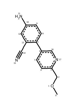 COCc1ccc(-c2ccc(N)cc2C#N)cn1